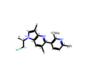 COc1nc(C(C)C)ccc1-c1nc2c(C)cn([C@H](C)CF)c2cc1C